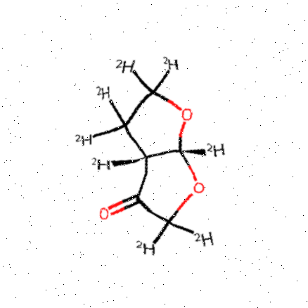 [2H]C1([2H])O[C@@]2([2H])OC([2H])([2H])C([2H])([2H])[C@@]2([2H])C1=O